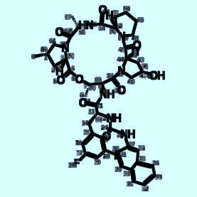 C[C@@H]1C[C@H]2C(=O)O[C@@H](C)[C@H](NC(=O)[C@H](Cc3cc(F)cc(F)c3)NC(=O)Nc3ccc4ccccc4c3)C(=O)N3C[C@H](O)C[C@H]3C(=O)N3CCCC[C@H]3C(=O)N[C@@H](C)C(=O)N2C1